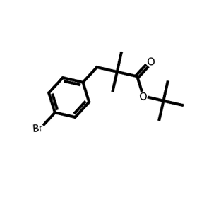 CC(C)(C)OC(=O)C(C)(C)Cc1ccc(Br)cc1